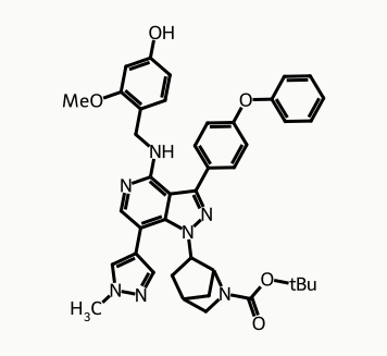 COc1cc(O)ccc1CNc1ncc(-c2cnn(C)c2)c2c1c(-c1ccc(Oc3ccccc3)cc1)nn2C1CC2CC1N(C(=O)OC(C)(C)C)C2